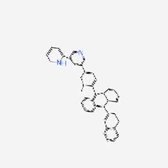 CC1CC(c2cncc(C3=CC=CCN3)c2)=CC=C1C1=c2ccccc2=C(C2=Cc3ccccc3CC2)C2C=CC=CC12